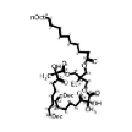 CCCCCCCCC=CCCCCCCCC(=O)OCC(CC)(COC(=O)C(C)(O)C(=O)CCCCCCCCCCCCCCC)COC(=O)C(C)(O)C(=O)CCCCCCCCCCCCCCC